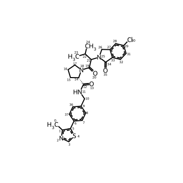 Cc1ncsc1-c1ccc(CNC(=O)[C@@H]2CCCN2C(=O)C(C(C)C)N2Cc3cc(Cl)ccc3C2=O)cc1